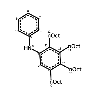 CCCCCCCCc1cc(Nc2ccccc2)c(CCCCCCCC)c(CCCCCCCC)c1CCCCCCCC